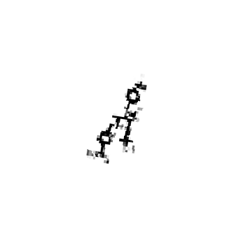 CC(C)(O)C#Cc1nc(Cl)n(Cc2ccc(C(F)(F)F)cc2)c1C(=O)NCc1ccc(C(=O)O)cn1